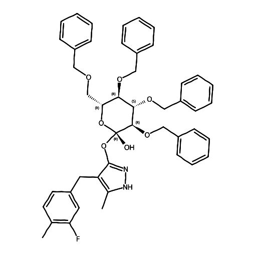 Cc1ccc(Cc2c(O[C@]3(O)O[C@H](COCc4ccccc4)[C@@H](OCc4ccccc4)[C@H](OCc4ccccc4)[C@H]3OCc3ccccc3)n[nH]c2C)cc1F